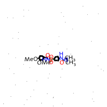 COc1ccc(C(=O)NS(=O)(=O)c2ccc(NC(=O)N(C)C)cc2)cc1OC